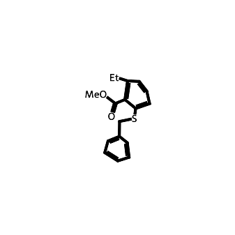 CCc1cccc(SCc2ccccc2)c1C(=O)OC